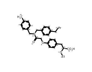 CCO[C@@H](Cc1ccc(OCC(=O)N(Cc2ccc(C)cc2)Cc2ccc(CC(C)C)cc2)cc1)C(=O)O